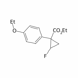 CCOC(=O)C1(c2ccc(OCC)cc2)CC1F